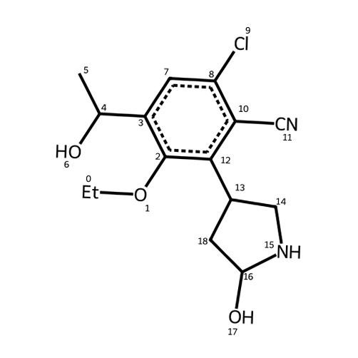 CCOc1c(C(C)O)cc(Cl)c(C#N)c1C1CNC(O)C1